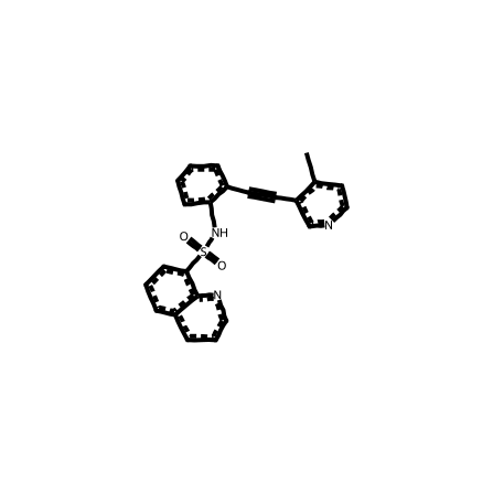 Cc1ccncc1C#Cc1ccccc1NS(=O)(=O)c1cccc2cccnc12